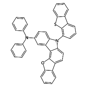 c1ccc(N(c2ccccc2)c2ccc3c(c2)c2c4oc5ccccc5c4ccc2n3-c2cccc3c2sc2ccccc23)cc1